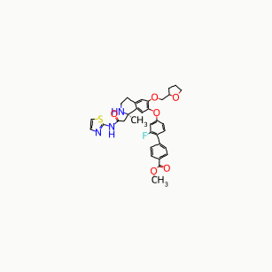 COC(=O)c1ccc(-c2ccc(Oc3cc4c(cc3OCC3CCCO3)CCN[C@]4(C)CC(=O)Nc3nccs3)cc2F)cc1